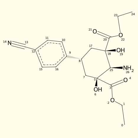 CCOC(=O)[C@]1(O)C[C@H](c2ccc(C#N)cc2)C[C@](O)(C(=O)OCC)[C@H]1N